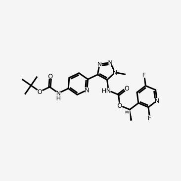 C[C@@H](OC(=O)Nc1c(-c2ccc(NC(=O)OC(C)(C)C)cn2)nnn1C)c1cc(F)cnc1F